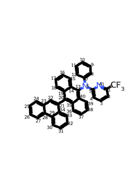 FC(F)(F)c1cccc(N(c2ccccc2)c2c3ccccc3c(-c3cc4ccccc4c4ccccc34)c3ccccc23)n1